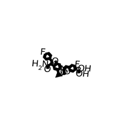 CS(=O)(=O)N(Cc1ccc(B(O)O)c(F)c1)c1cc2oc(-c3ccc(F)cc3)c(C(N)=O)c2cc1C1CC1